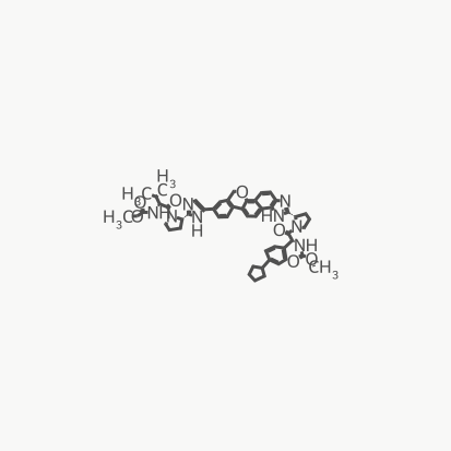 COC(=O)N[C@H](C(=O)N1CCC[C@H]1c1ncc(-c2ccc3c(c2)COc2c-3ccc3c2ccc2nc([C@@H]4CCCN4C(=O)[C@H](NC(=O)OC)c4ccc(C5CCCC5)cc4)[nH]c23)[nH]1)C(C)C